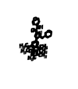 CC(C)c1cc(C2C=C(C(=O)NC3CCOCC3)N=C2CC2CCCCC2)cc2c1S(=O)(=O)N(C(C)C)C2(C)C